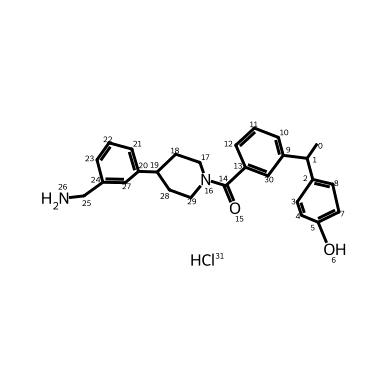 CC(c1ccc(O)cc1)c1cccc(C(=O)N2CCC(c3cccc(CN)c3)CC2)c1.Cl